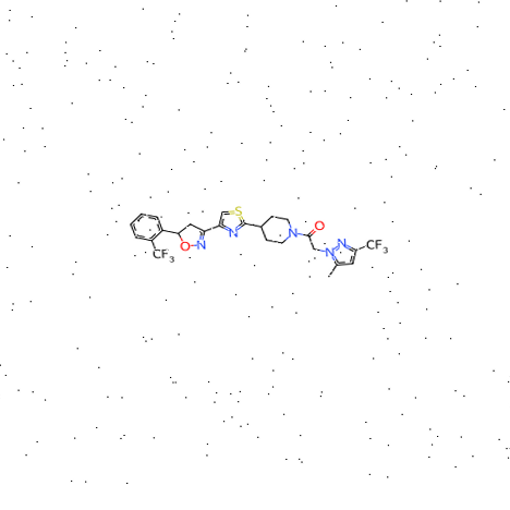 Cc1cc(C(F)(F)F)nn1CC(=O)N1CCC(c2nc(C3=NOC(c4[c]cccc4C(F)(F)F)C3)cs2)CC1